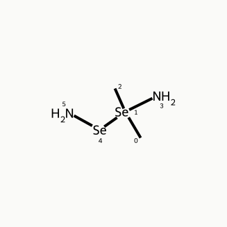 C[Se](C)(N)[Se]N